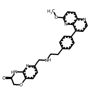 COc1ccc2nccc(-c3ccc(CCNCc4ccc5c(n4)NC(=O)CO5)cc3)c2n1